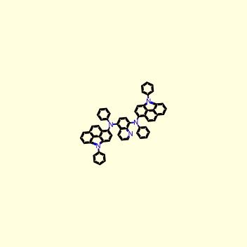 c1ccc(N(c2ccc(N(c3ccccc3)c3ccc4c5c3ccc3cccc(c35)n4-c3ccccc3)c3ncccc23)c2ccc3c4c2ccc2cccc(c24)n3-c2ccccc2)cc1